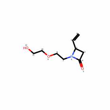 C=CC1CC(=O)N1CCOCCO